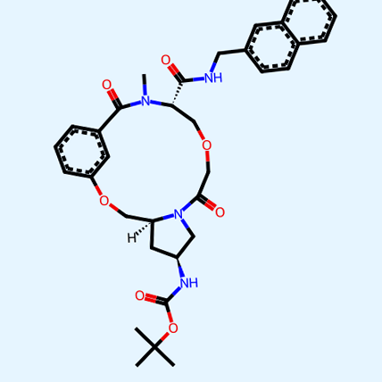 CN1C(=O)c2cccc(c2)OC[C@@H]2C[C@H](NC(=O)OC(C)(C)C)CN2C(=O)COC[C@H]1C(=O)NCc1ccc2ccccc2c1